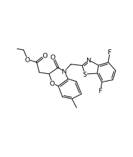 CCOC(=O)CC1Oc2cc(C)ccc2N(Cc2nc3c(F)ccc(F)c3s2)C1=O